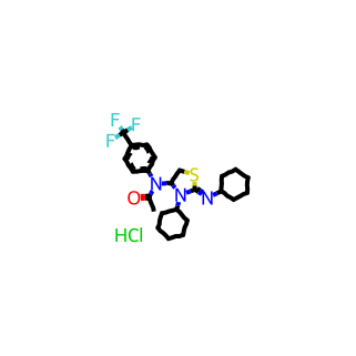 CC(=O)N(c1ccc(C(F)(F)F)cc1)C1CSC(=NC2CCCCC2)N1C1CCCCC1.Cl